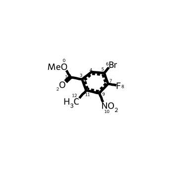 COC(=O)c1cc(Br)c(F)c([N+](=O)[O-])c1C